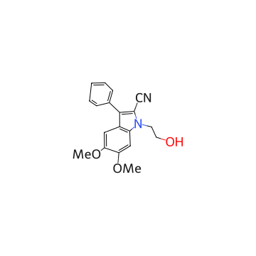 COc1cc2c(-c3ccccc3)c(C#N)n(CCO)c2cc1OC